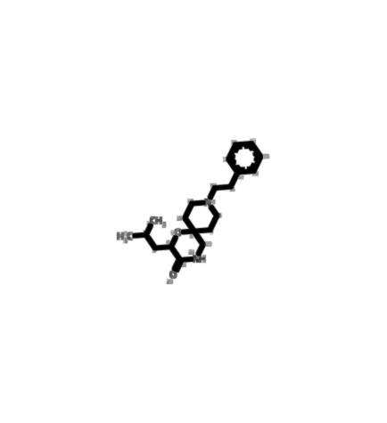 CC(C)CC1OC2(CCN(CCc3ccccc3)CC2)CNC1=O